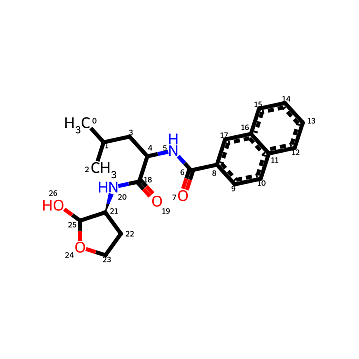 CC(C)CC(NC(=O)c1ccc2ccccc2c1)C(=O)N[C@H]1CCOC1O